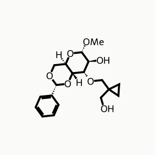 CO[C@H]1O[C@@H]2CO[C@@H](c3ccccc3)O[C@H]2[C@@H](OCC2(CO)CC2)[C@@H]1O